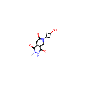 Cn1[nH]c(=O)c2cn(C3CC(O)C3)c(=O)cc2c1=O